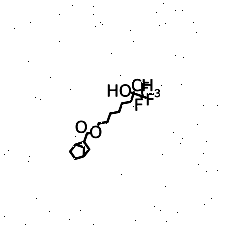 CC(O)(CCCCCCOC(=O)C1CC2CCC1C2)C(F)(F)F